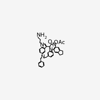 CC(=O)On1c(=O)c(-c2cn(CCCN)c3ccc(N(Cc4ccccc4)Cc4ccccc4)cc23)nc2cc3c(cc21)CCC3